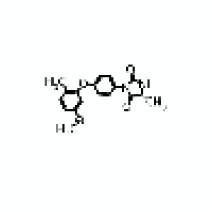 COc1ccc(C)c(Oc2ccc(N3C(=O)N[C@H](C)C3=O)cc2)c1